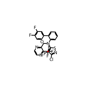 O=C(c1nccnc1C(F)(F)F)N(c1ccccc1-c1ccc(F)c(F)c1)c1snc(Cl)c1Cl